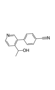 CC(O)c1ccncc1-c1ccc(C#N)cc1